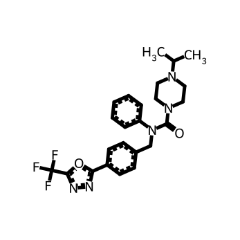 CC(C)N1CCN(C(=O)N(Cc2ccc(-c3nnc(C(F)(F)F)o3)cc2)c2ccccc2)CC1